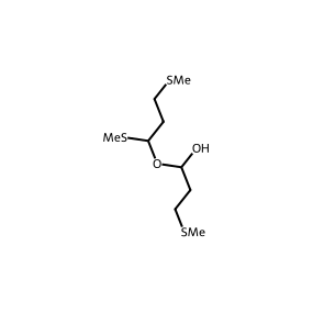 CSCCC(O)OC(CCSC)SC